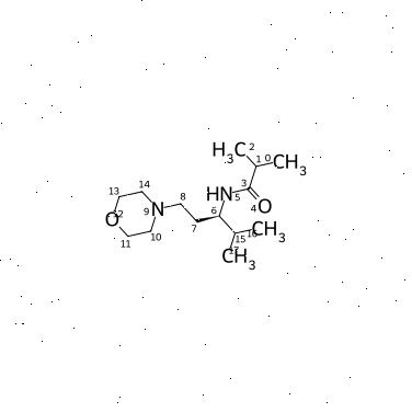 CC(C)C(=O)N[C@H](CCN1CCOCC1)C(C)C